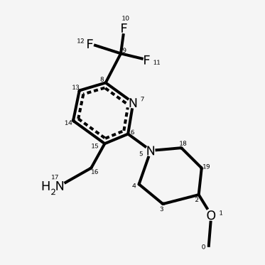 COC1CCN(c2nc(C(F)(F)F)ccc2CN)CC1